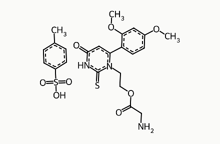 COc1ccc(-c2cc(=O)[nH]c(=S)n2CCOC(=O)CN)c(OC)c1.Cc1ccc(S(=O)(=O)O)cc1